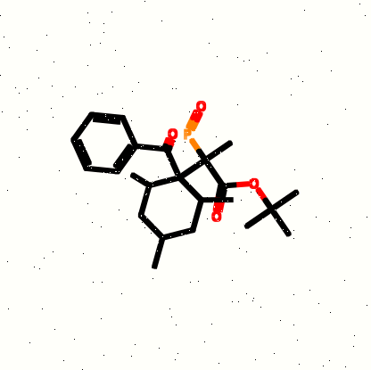 CC1CC(C)C(C(=O)c2ccccc2)(C(C)(P=O)C(=O)OC(C)(C)C)C(C)C1